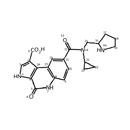 O=C(O)c1c[nH]c2c(=O)[nH]c3ccc(C(=O)N(CC4CCCN4)C4CC4)cc3c12